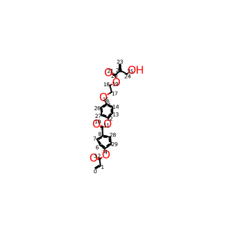 C=CC(=O)Oc1ccc(C(=O)Oc2ccc(OCCOC(=O)C(=C)CO)cc2)cc1